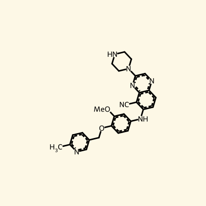 COc1cc(Nc2ccc3ncc(N4CCNCC4)nc3c2C#N)ccc1OCc1ccc(C)nc1